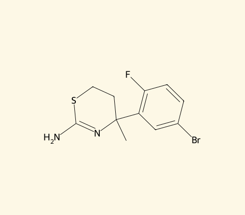 CC1(c2cc(Br)ccc2F)CCSC(N)=N1